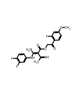 COc1ccc(C(=O)COC(=O)/C(C(C)=N)=C(\N)Nc2ccc(F)c(F)c2)c(F)c1